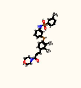 Cc1cccc(S(=O)(=O)Nc2cccc(Sc3ccc(C=CC(=O)N4CCOCC4)c(C(F)(F)F)c3C(F)(F)F)c2)c1